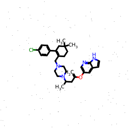 C=C(CC(C)N1CCN(CC2=C(c3ccc(Cl)cc3)CC(C)(C)CC2)CC1)Oc1cnc2[nH]ccc2c1